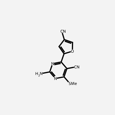 CSc1nc(N)nc(-c2cc(C#N)co2)c1C#N